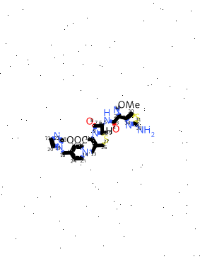 CON=C(C(=O)N[C@@H]1C(=O)N2C(C(=O)[O-])=C(C[n+]3ccc(Cn4ccnc4)cc3)CS[C@@H]12)c1csc(N)n1